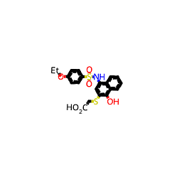 CCOc1ccc(S(=O)(=O)Nc2cc(SCC(=O)O)c(O)c3ccccc23)cc1